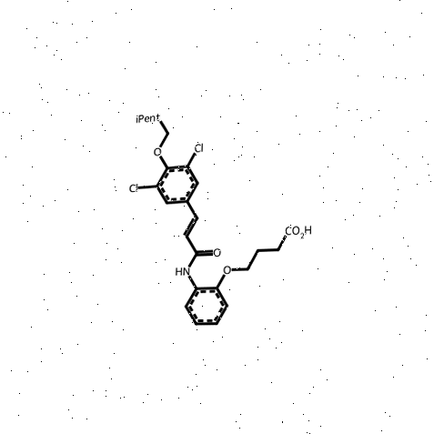 CCCC(C)COc1c(Cl)cc(C=CC(=O)Nc2ccccc2OCCCC(=O)O)cc1Cl